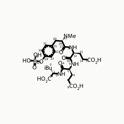 CCC(C)[C@H](NC(=O)[C@H](CCC(=O)O)NC(=O)[C@H](CCC(=O)O)NC(=O)[C@H](Cc1ccc(OP(=O)(O)O)cc1)NC)C(=O)O